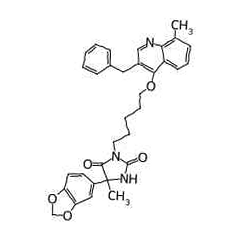 Cc1cccc2c(OCCCCCN3C(=O)NC(C)(c4ccc5c(c4)OCO5)C3=O)c(Cc3ccccc3)cnc12